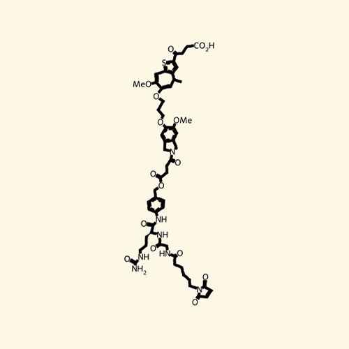 COC1=Cc2sc(C(=O)CCC(=O)O)cc2C(C)C=C1OCCCOc1cc2c(cc1OC)CN(C(=O)CCC(=O)OCc1ccc(NC(=O)[C@H](CCCNC(N)=O)NC(=O)CNC(=O)CCCCCN3C(=O)C=CC3=O)cc1)C2